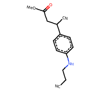 COC(=O)CC(C#N)c1ccc(NCCC#N)cc1